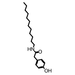 CCCCCCCCCCCCNC(=O)Cc1ccc(O)cc1